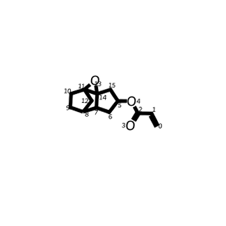 C=CC(=O)OC1CC2C3CCC4(C3)OC24C1